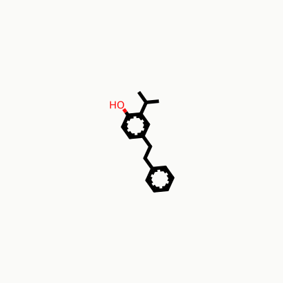 CC(C)c1cc(CCc2ccccc2)ccc1O